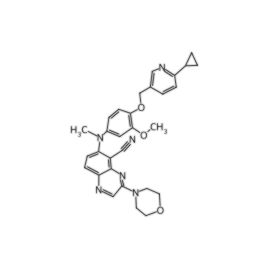 COc1cc(N(C)c2ccc3ncc(N4CCOCC4)nc3c2C#N)ccc1OCc1ccc(C2CC2)nc1